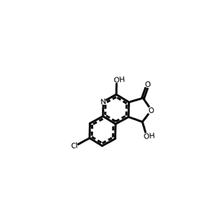 O=C1OC(O)c2c1c(O)nc1cc(Cl)ccc21